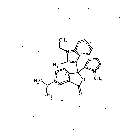 C=Cn1c(C)c(C2(c3cccn3C)OC(=O)c3cc(N(C)C)ccc32)c2ccccc21